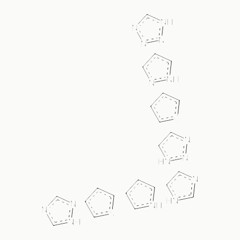 c1c[nH]cn1.c1c[nH]nn1.c1cc[nH]c1.c1ccoc1.c1ccsc1.c1cn[nH]c1.c1nc[nH]n1.c1nnn[nH]1